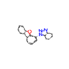 c1ccc2c(c1)nnn2-c1cccc2c1oc1ccccc12